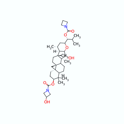 CC(C)[C@@H](OC(=O)N1CCC1)C1C[C@@H](C)[C@H]2C(O1)[C@H](O)[C@@]1(C)C3CC[C@H]4C(C)(C)[C@@H](OC(=O)N5CC(O)C5)CC[C@@]45C[C@@]35CC[C@]21C